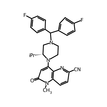 CC(C)[C@@H]1CN(C(c2ccc(F)cc2)c2ccc(F)cc2)CCN1c1cc(=O)n(C)c2ccc(C#N)nc12